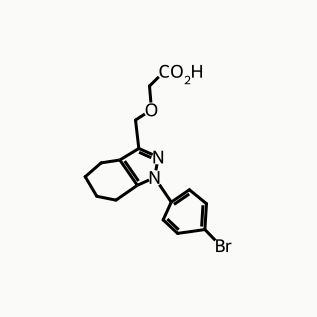 O=C(O)COCc1nn(-c2ccc(Br)cc2)c2c1CCCC2